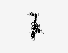 CCN(CCO)CCCCNC(=O)Nc1snc(OCc2c(F)cc(Cl)cc2F)c1C(N)=O